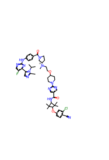 Cc1ncc(-c2nc(Nc3ccc(C(=O)N4CC[C@H](N(C)CCOC5CCN(c6ncc(C(=O)NC7C(C)(C)C(Oc8ccc(C#N)c(Cl)c8)C7(C)C)cn6)CC5)C4)cc3)ncc2F)n1C(C)C